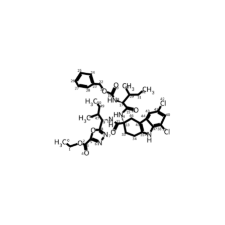 CCOC(=O)c1nnc([C@@H](NC(=O)[C@]2(NC(=O)[C@@H](NC(=O)OCc3ccccc3)C(C)CC)CCc3[nH]c4c(Cl)cc(Cl)cc4c3C2)C(C)CC)o1